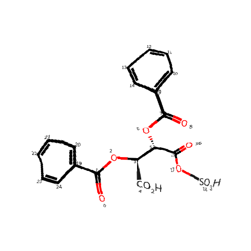 O=C(O[C@H](C(=O)O)[C@H](OC(=O)c1ccccc1)C(=O)OS(=O)(=O)O)c1ccccc1